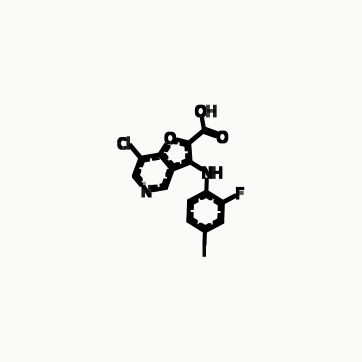 O=C(O)c1oc2c(Cl)cncc2c1Nc1ccc(I)cc1F